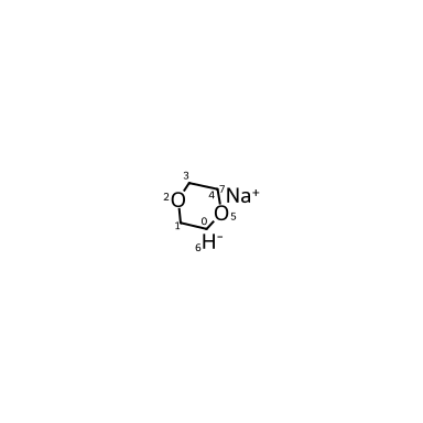 C1COCCO1.[H-].[Na+]